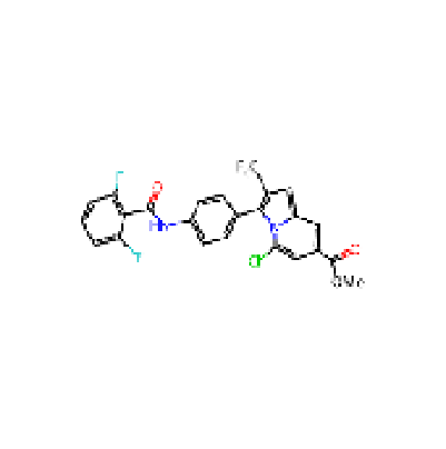 COC(=O)c1cc(Cl)n2c(-c3ccc(NC(=O)c4c(F)cccc4F)cc3)c(C(F)(F)F)cc2c1